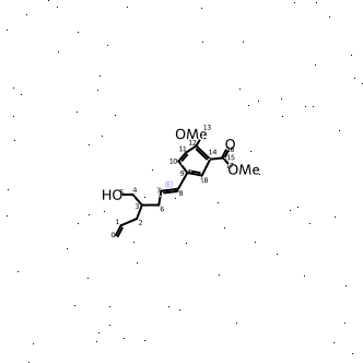 C=CCC(CO)C/C=C/c1ccc(OC)c(C(=O)OC)c1